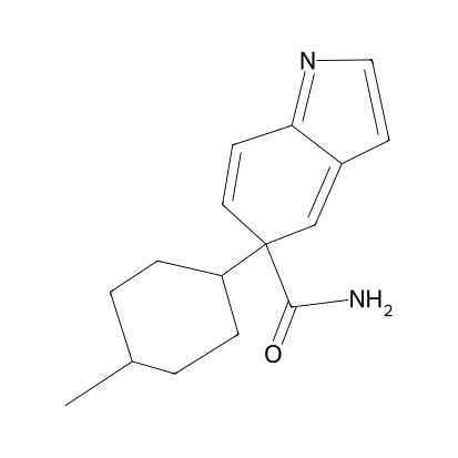 CC1CCC(C2(C(N)=O)C=CC3=NC=CC3=C2)CC1